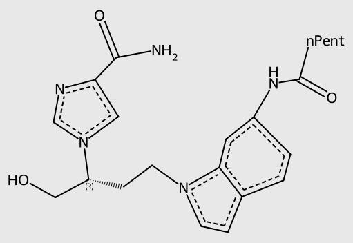 CCCCCC(=O)Nc1ccc2ccn(CC[C@H](CO)n3cnc(C(N)=O)c3)c2c1